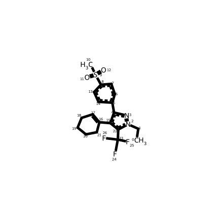 CCn1nc(-c2ccc(S(C)(=O)=O)cc2)c(C2=CCCCC2)c1C(F)(F)F